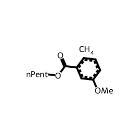 C.CCCCCOC(=O)c1cccc(OC)c1